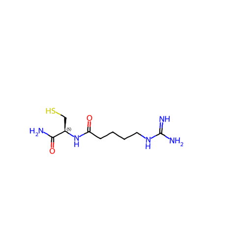 N=C(N)NCCCCC(=O)N[C@H](CS)C(N)=O